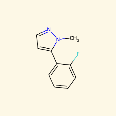 Cn1nccc1-c1ccccc1F